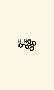 Nc1cccc2c1-c1c(Cc3ccccc3)cccc1C21C2=C(C=CCC2)C2=C1CCC=C2